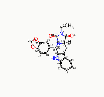 CCN1C(=O)[C@H]2Cc3c([nH]c4ccccc34)[C@H](c3ccc4c(c3)OCO4)N2C1=O